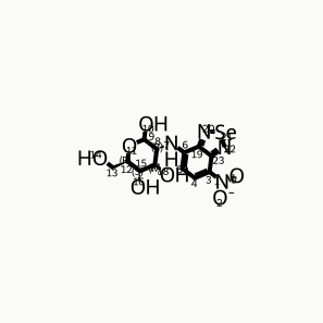 O=[N+]([O-])c1ccc(N[C@H]2C(O)O[C@H](CO)[C@@H](O)[C@@H]2O)c2n[se]nc12